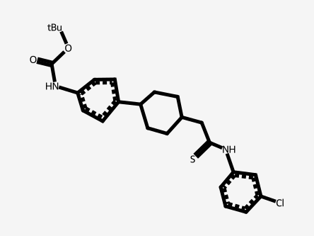 CC(C)(C)OC(=O)Nc1ccc(C2CCC(CC(=S)Nc3cccc(Cl)c3)CC2)cc1